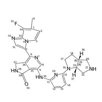 Cc1ccn2c(-c3ncc(Nc4cccc(N5CC[C@@H]6CNC[C@@H]65)n4)c4c3CNC4=O)cnc2c1F